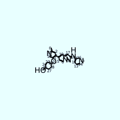 Cc1cc(-c2ccn3nc(Nc4cccnc4)cc3c2)c(O[C@H]2CC[C@H](O)CC2)cn1